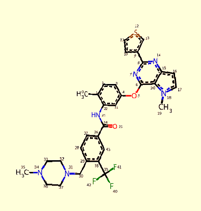 Cc1ccc(Oc2nc(-c3ccsc3)nc3ccn(C)c23)cc1NC(=O)c1ccc(CN2CCN(C)CC2)c(C(F)(F)F)c1